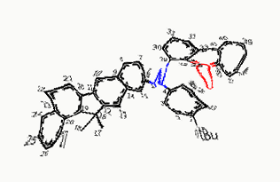 CC(C)(C)c1ccc(N(c2ccc3cc4c(cc3c2)C(C)(C)c2c-4ccc3ccccc23)c2cccc3c2oc2ccccc23)cc1